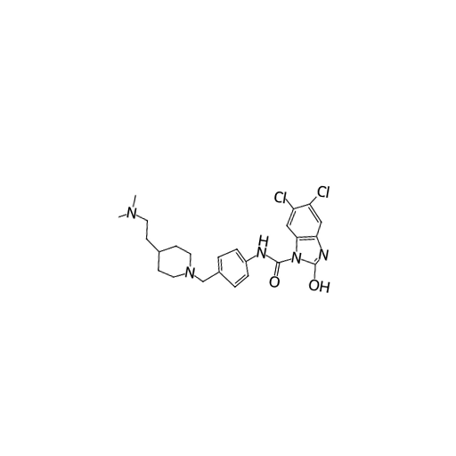 CN(C)CCC1CCN(Cc2ccc(NC(=O)n3c(O)nc4cc(Cl)c(Cl)cc43)cc2)CC1